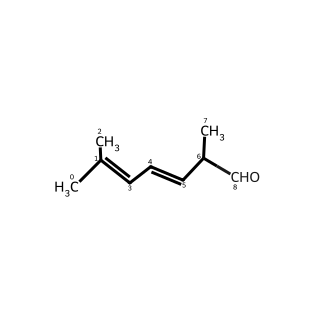 CC(C)=C/C=C/C(C)C=O